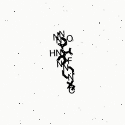 COc1cc(-c2[nH]c3cnc(N4CCCN(CC5(C)COC5)CCC4)c(F)c3c2C(C)C)cn2ncnc12